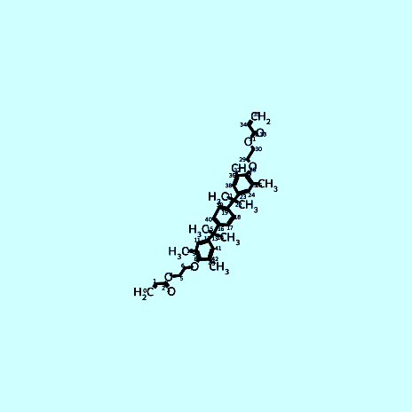 C=CC(=O)OCCOc1c(C)cc(C(C)(C)c2ccc(C(C)(C)c3cc(C)c(OCCOC(=O)C=C)c(C)c3)cc2)cc1C